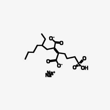 CCCCC(CC)CC(C(=O)[O-])=C(CCCS(=O)(=O)O)C(=O)[O-].[Na+].[Na+]